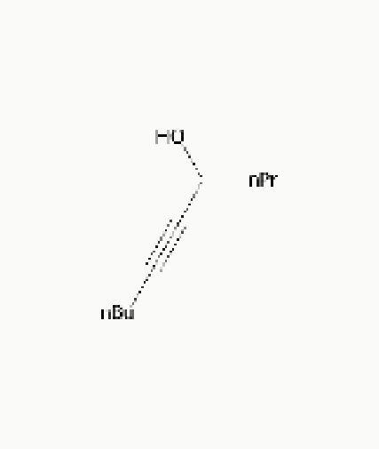 CCCCC#CC(O)CCC